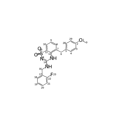 COc1ccc(Cc2cccc3c2NC(NCc2ccccc2F)=NS3(=O)=O)cc1